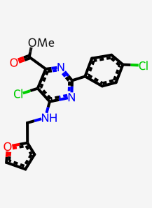 COC(=O)c1nc(-c2ccc(Cl)cc2)nc(NCc2ccco2)c1Cl